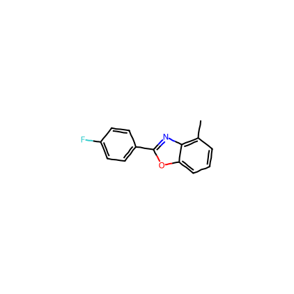 Cc1cccc2oc(-c3ccc(F)cc3)nc12